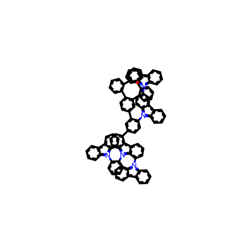 c1ccc2c(c1)-c1ccccc1-c1ccc(-c3cc(-c4cccc5c4c4cccc(-n6c7ccccc7c7ccccc76)c4n5-c4ccccc4-n4c5ccccc5c5ccccc54)ccc3-n3c4ccccc4c4cc(-n5c6ccccc6c6ccccc65)ccc43)cc1-c1ccccc1-2